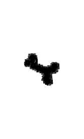 c1ccc(-c2c(-c3cccc(-c4ccc(-c5ccc(N(c6ccc7c(ccc8ccccc87)c6)c6ccc7c(ccc8ccccc87)c6)cc5)cc4)c3)oc3ccccc23)cc1